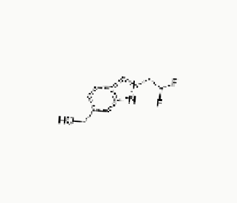 OCc1ccc2cn(CC(F)F)nc2c1